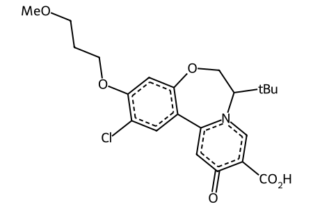 COCCCOc1cc2c(cc1Cl)-c1cc(=O)c(C(=O)O)cn1C(C(C)(C)C)CO2